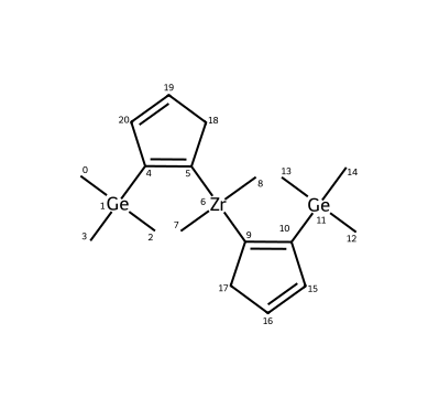 [CH3][Ge]([CH3])([CH3])[C]1=[C]([Zr]([CH3])([CH3])[C]2=[C]([Ge]([CH3])([CH3])[CH3])C=CC2)CC=C1